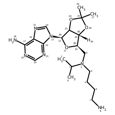 CC(C)N(CCCCN)C[C@H]1O[C@@H](n2cnc3c(N)ncnc32)C2OC(C)(C)O[C@@H]21